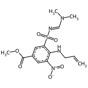 C=CCNc1c([N+](=O)[O-])cc(C(=O)OC)cc1S(=O)(=O)/N=C/N(C)C